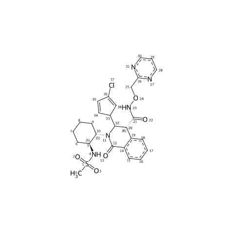 CS(=O)(=O)N[C@H]1CCCC[C@@H]1N1C(=O)c2ccccc2[C@@H](C(=O)NOCc2ncccn2)C1C1C=CC(Cl)=C1